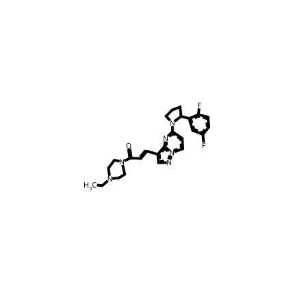 CCN1CCN(C(=O)C=Cc2cnn3ccc(N4CCCC4c4cc(F)ccc4F)nc23)CC1